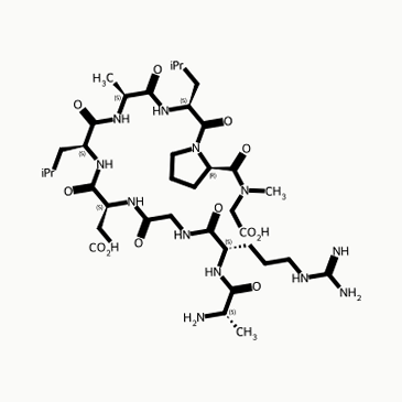 CC(C)C[C@H](NC(=O)[C@H](CC(=O)O)NC(=O)CNC(=O)[C@H](CCCNC(=N)N)NC(=O)[C@H](C)N)C(=O)N[C@@H](C)C(=O)N[C@@H](CC(C)C)C(=O)N1CCC[C@@H]1C(=O)N(C)CC(=O)O